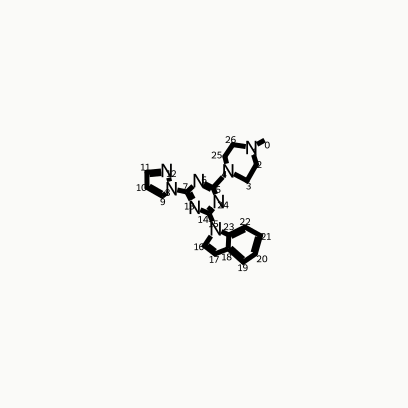 CN1CCN(c2nc(-n3cccn3)nc(-n3ccc4ccccc43)n2)CC1